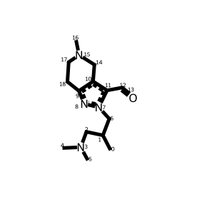 CC(CN(C)C)Cn1nc2c(c1C=O)CN(C)CC2